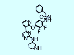 CN=S(=O)(Cc1ccccc1)Nc1ccc(Oc2ncccc2-c2ccnc(NC3CCCNC3)n2)c(F)c1F